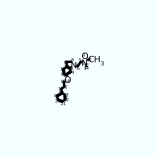 CC(=O)N(F)CCN1CCc2ccc(OCCCc3ccccc3)cc21